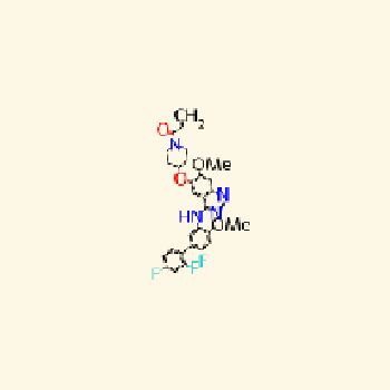 C=CC(=O)N1CCC(Oc2cc3c(Nc4cc(-c5ccc(F)cc5F)c(F)cc4OC)ncnc3cc2OC)CC1